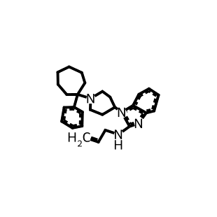 C=CCNc1nc2ccccc2n1C1CCN(C2(c3ccccc3)CCCCCC2)CC1